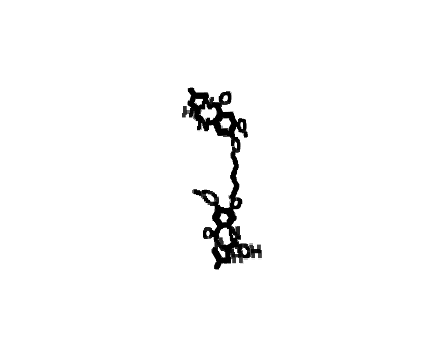 COc1cc2c(cc1OCCCCCOc1cc3c(cc1OC)C(=O)N1C=C(C)C[C@H]1C(O)=N3)N=C[C@@H]1CC(C)=CN1C2=O